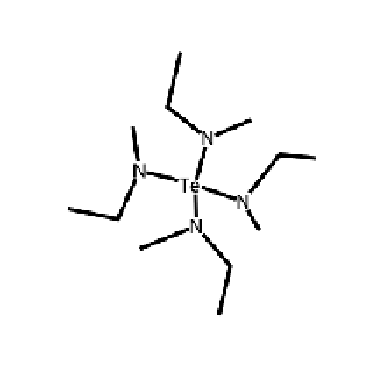 CCN(C)[Te](N(C)CC)(N(C)CC)N(C)CC